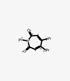 CC(C)c1cc(=O)n(C(C)C)c(=O)cc1C(C)C